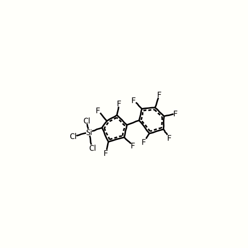 Fc1c(F)c(F)c(-c2c(F)c(F)c([Si](Cl)(Cl)Cl)c(F)c2F)c(F)c1F